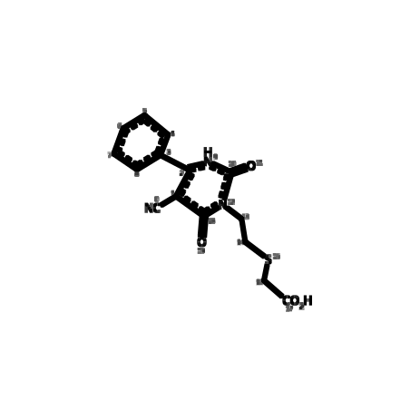 N#Cc1c(-c2ccccc2)[nH]c(=O)n(CCSCC(=O)O)c1=O